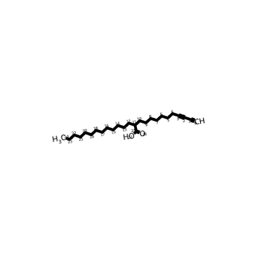 C#CC#CCCCCCCCC(CCCCCCCCCCCCC)C(=O)O